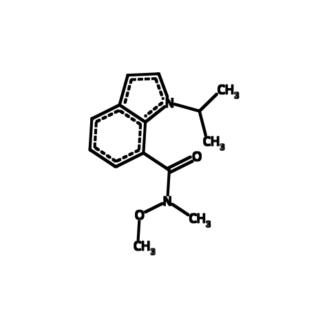 CON(C)C(=O)c1cccc2ccn(C(C)C)c12